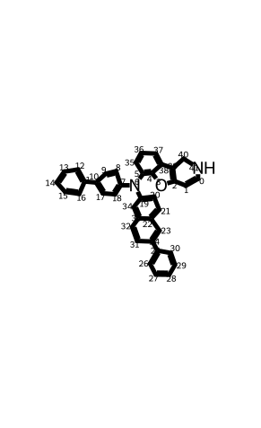 C1=Cc2oc3c(N(c4ccc(-c5ccccc5)cc4)c4ccc5cc(-c6ccccc6)ccc5c4)cccc3c2CN1